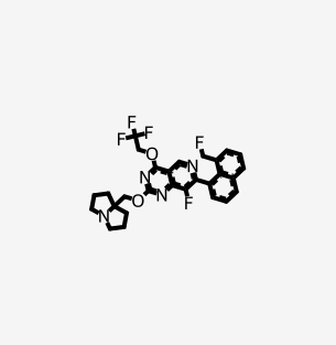 FCc1cccc2cccc(-c3ncc4c(OCC(F)(F)F)nc(OCC56CCCN5CCC6)nc4c3F)c12